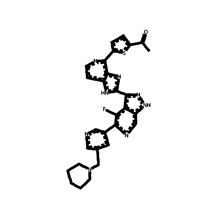 CC(=O)c1ccc(-c2nccc3[nH]c(-c4n[nH]c5cnc(-c6cncc(CN7CCCCC7)c6)c(F)c45)nc23)s1